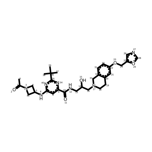 CC(=O)N1CC(Nc2cc(C(=O)NCC(O)CN3CCc4cc(OCc5cnco5)ccc4C3)nc(C(C)(C)C)n2)C1